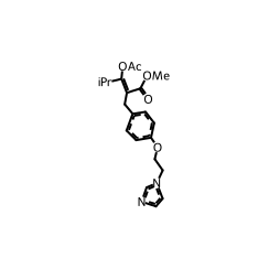 COC(=O)/C(Cc1ccc(OCCn2ccnc2)cc1)=C(\OC(C)=O)C(C)C